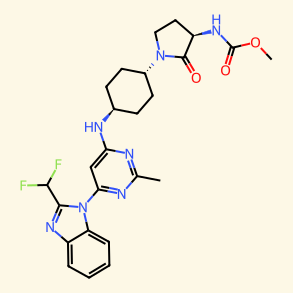 COC(=O)N[C@@H]1CCN([C@H]2CC[C@H](Nc3cc(-n4c(C(F)F)nc5ccccc54)nc(C)n3)CC2)C1=O